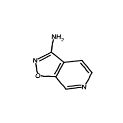 Nc1noc2cnccc12